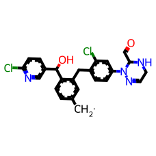 [CH2]c1ccc(C(O)c2ccc(Cl)nc2)c(Cc2ccc(N3N=CCNC3C=O)cc2Cl)c1